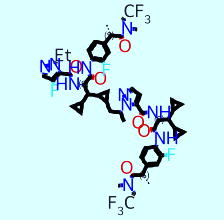 CCn1ncc(F)c1C(=O)N[C@H](C(=O)Nc1ccc([C@H](C)C(=O)N(C)CC(F)(F)F)cc1F)C(C1CC1)C1CC1CC(C)n1nccc1C(=O)N[C@H](C(=O)Nc1ccc([C@H](C)C(=O)N(C)CC(F)(F)F)cc1F)C(C1CC1)C1CC1